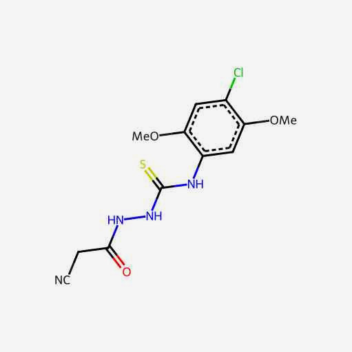 COc1cc(NC(=S)NNC(=O)CC#N)c(OC)cc1Cl